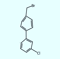 Clc1cc[c]c(-c2ccc(CBr)cc2)c1